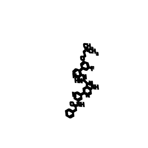 CN(C)CCOc1cc(F)cc(-c2ccnc3[nH]c(-c4n[nH]c5cnc(-c6cncc(NC(=O)Cc7ccccc7)c6)cc45)nc23)c1